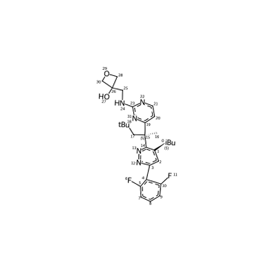 CC[C@H](C)c1cc(-c2c(F)cccc2F)nnc1[C@@](C)(CC(C)(C)C)c1ccnc(NCC2(O)COC2)n1